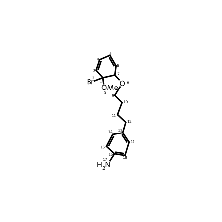 COC1(Br)C=CC=CC1OCCCCc1ccc(N)cc1